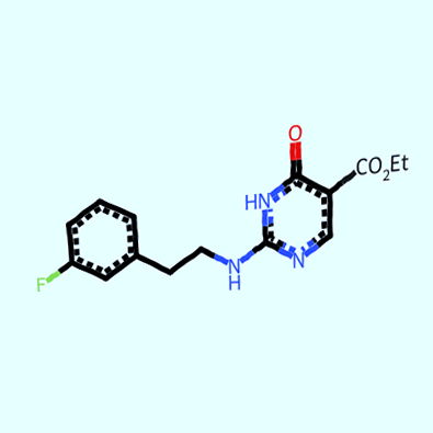 CCOC(=O)c1cnc(NCCc2cccc(F)c2)[nH]c1=O